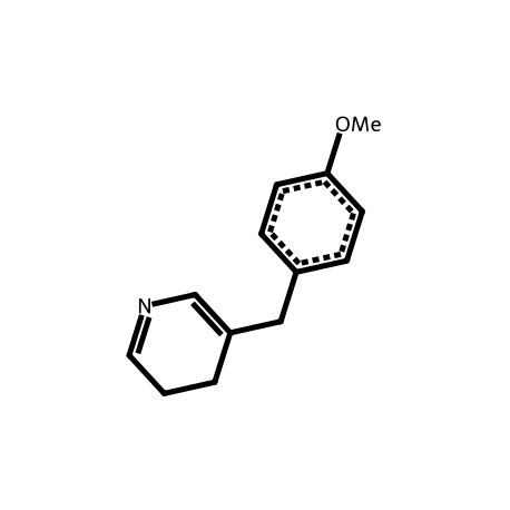 COc1ccc(CC2=CN=CCC2)cc1